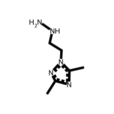 Cc1nc(C)n(CCNN)n1